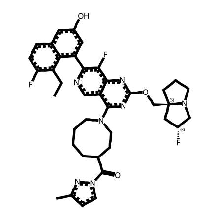 CCc1c(F)ccc2cc(O)cc(-c3ncc4c(N5CCCCC(C(=O)n6ccc(C)n6)CC5)nc(OC[C@@]56CCCN5C[C@H](F)C6)nc4c3F)c12